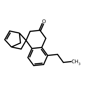 CCCc1cccc2c1CC(=O)CC21CC2C=CC1C2